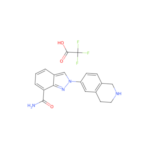 NC(=O)c1cccc2cn(-c3ccc4c(c3)CCNC4)nc12.O=C(O)C(F)(F)F